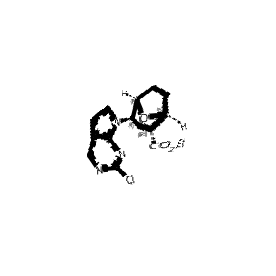 CCOC(=O)[C@@H]1[C@@H](n2ccc3cnc(Cl)nc32)[C@H]2CC[C@@H]1O2